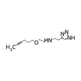 CC#CCCCOCCCNCCc1c[nH]nn1